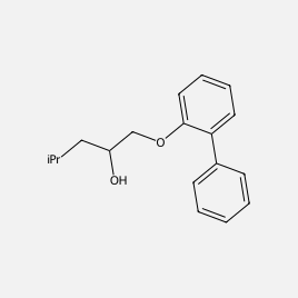 CC(C)CC(O)COc1ccccc1-c1ccccc1